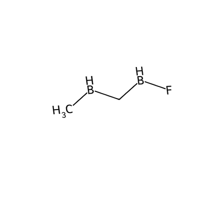 CBCBF